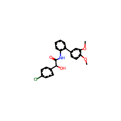 COc1ccc(-c2ccccc2NC(=O)C(O)c2ccc(Cl)cc2)cc1OC